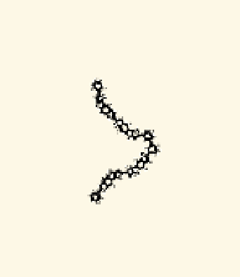 c1ccc(-c2cc3cc4sc5cc(-c6cc7sc8cc9cc(-c%10cccc(-c%11cccc(-c%12cc%13sc%14cc%15sc(-c%16cc%17cc%18c(cc%17s%16)sc%16cc(-c%17ccccc%17)sc%16%18)cc%15cc%14c%13s%12)c%11)c%10)sc9cc8c7s6)sc5c4cc3s2)cc1